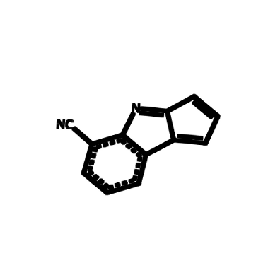 N#Cc1cccc2c1N=C1C=CC=C12